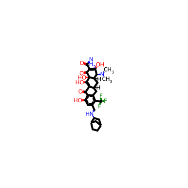 CN(C)[C@@H]1C(O)=C(C(N)=O)C(=O)[C@@]2(O)C(O)=C3C(=O)c4c(O)cc(CN[C@H]5CC6CCC5C6)c(C(F)(F)F)c4C[C@H]3C[C@@H]12